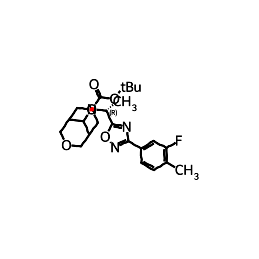 Cc1ccc(-c2noc([C@@H](C)OC3C4COCC3CN(C(=O)OC(C)(C)C)C4)n2)cc1F